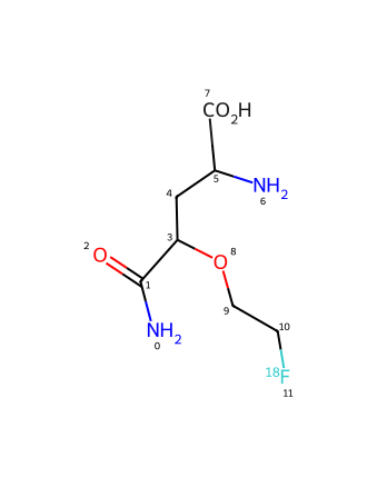 NC(=O)C(CC(N)C(=O)O)OCC[18F]